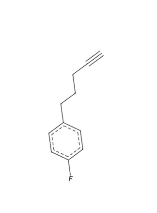 C#CCCCc1ccc(F)cc1